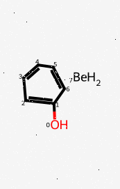 Oc1ccccc1.[BeH2]